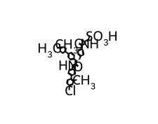 Cc1cc(Cl)ccc1-c1ccc(NC(=O)[C@@H](Cc2ccc(C(=O)NCCS(=O)(=O)O)cc2)c2ccc(C3=CCC(C)(C)CC3)cc2)cc1